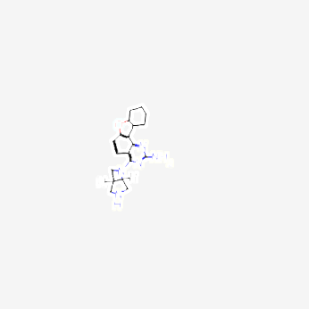 Nc1nc(N2C[C@H]3CNC[C@H]32)c2ccc3c(c2n1)C1CCCCC1O3